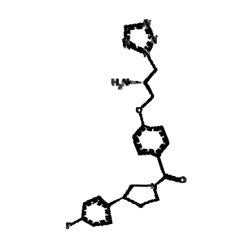 N[C@@H](COc1ccc(C(=O)N2CC[C@@H](c3ccc(F)cc3)C2)cc1)Cn1ncnn1